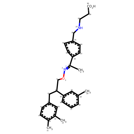 C/C(=N\OCC(Cc1ccc(C)c(C)c1)c1cccc(C)c1)c1ccc(CNCCC(=O)O)cc1